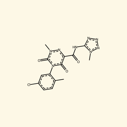 Cc1ccc(Cl)cc1-n1c(=O)c(C(=O)Nc2nnnn2C)nn(C)c1=O